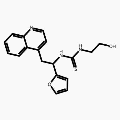 OCCNC(=S)NC(Cc1ccnc2ccccc12)c1ccco1